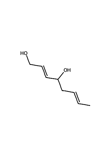 CC=CCC(O)C=CCO